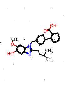 COc1cc2c(cc1O)nc(CCC(C)C)n2Cc1ccc(-c2ccccc2C(=O)O)cc1